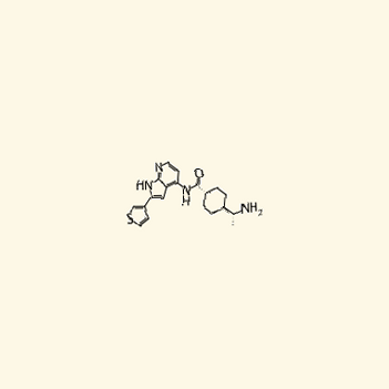 C[C@@H](N)[C@H]1CC[C@H](C(=O)Nc2ccnc3[nH]c(-c4ccsc4)cc23)CC1